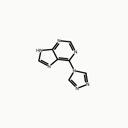 c1nc(-n2cnnc2)c2nc[nH]c2n1